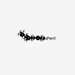 CCCCCC1COC(c2ccc(C3COC(c4cc(F)c(C(F)(F)Oc5cc(F)c(F)c(F)c5)c(F)c4)OC3)cc2)OC1